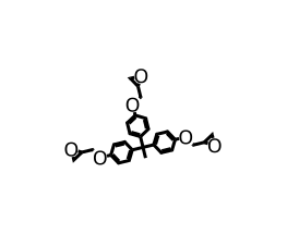 CC(c1ccc(OCC2CO2)cc1)(c1ccc(OCC2CO2)cc1)c1ccc(OCC2CO2)cc1